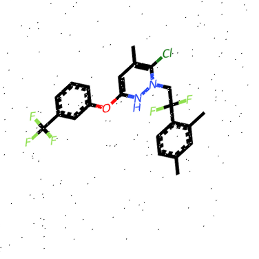 CC1=C(Cl)N(CC(F)(F)c2ccc(C)cc2C)NC(Oc2cccc(C(F)(F)F)c2)=C1